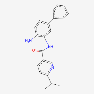 CC(C)c1ccc(C(=O)Nc2cc(-c3ccccc3)ccc2N)cn1